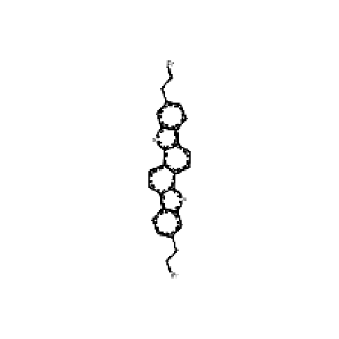 CC(C)CCc1ccc2c(c1)sc1c2ccc2c1ccc1c3ccc(CCC(C)C)cc3sc12